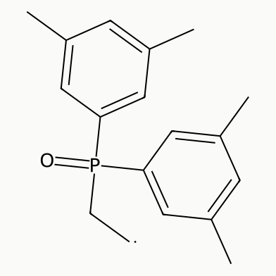 [CH2]CP(=O)(c1cc(C)cc(C)c1)c1cc(C)cc(C)c1